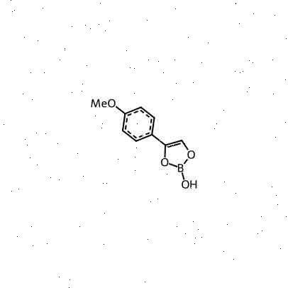 COc1ccc(C2=COB(O)O2)cc1